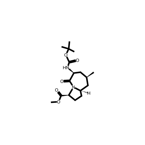 COC(=O)[C@@H]1CC[C@@H]2C[C@H](C)C[C@H](NC(=O)OC(C)(C)C)C(=O)N21